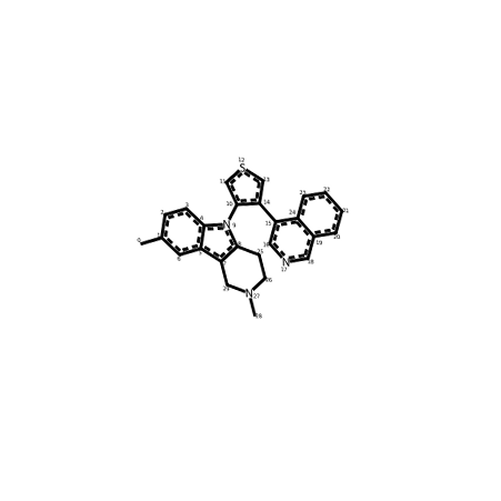 Cc1ccc2c(c1)c1c(n2-c2cscc2-c2cncc3ccccc23)CCN(C)C1